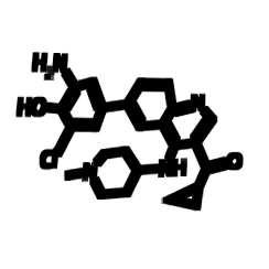 CN1CCC(Nc2c(C(=O)C3CC3)cnc3ccc(-c4cc(N)c(O)c(Cl)c4)cc23)CC1